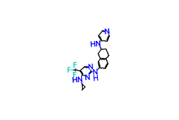 FC(F)(F)c1cnc(Nc2ccc3c(c2)CC(Nc2ccncc2)CC3)nc1NC1CC1